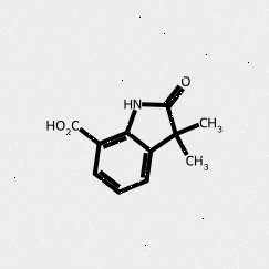 CC1(C)C(=O)Nc2c(C(=O)O)cccc21